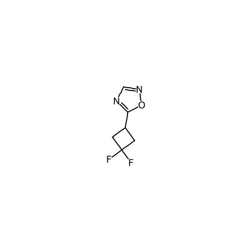 FC1(F)CC(c2ncno2)C1